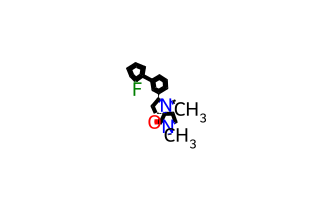 CCN1[C@@H](c2cccc(-c3ccccc3F)c2)CC[C@@]12CCN(C)C2=O